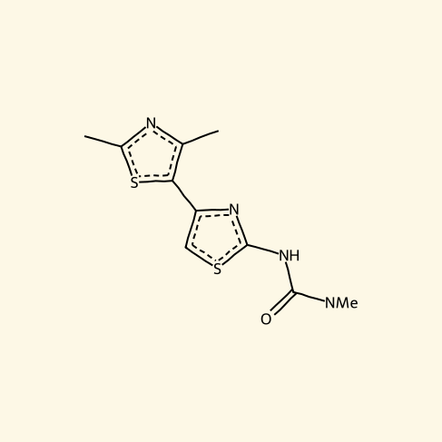 CNC(=O)Nc1nc(-c2sc(C)nc2C)cs1